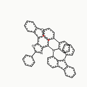 c1ccc(-c2nc3c(N(c4ccccc4-c4ccccc4)c4cccc5c6ccccc6n(-c6ccccc6)c45)cc4oc5ccccc5c4c3o2)cc1